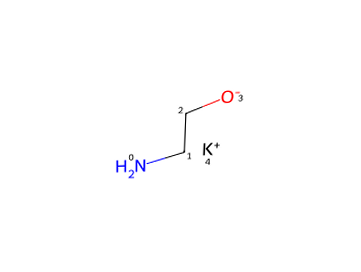 NCC[O-].[K+]